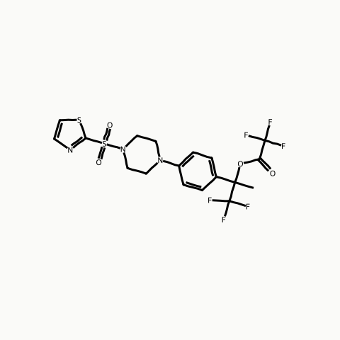 CC(OC(=O)C(F)(F)F)(c1ccc(N2CCN(S(=O)(=O)c3nccs3)CC2)cc1)C(F)(F)F